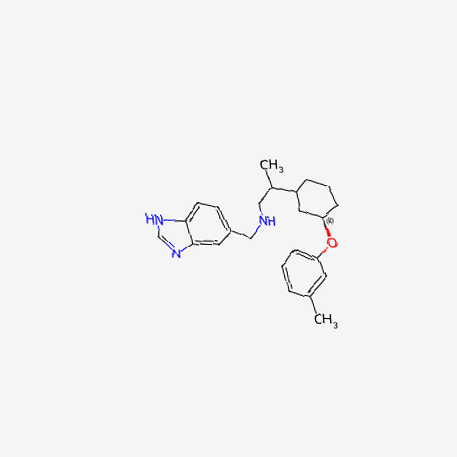 Cc1cccc(O[C@@H]2CCCC(C(C)CNCc3ccc4[nH]cnc4c3)C2)c1